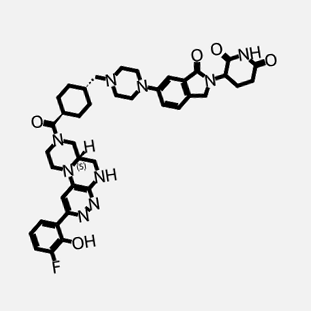 O=C1CCC(N2Cc3ccc(N4CCN(C[C@H]5CC[C@H](C(=O)N6CCN7c8cc(-c9cccc(F)c9O)nnc8NC[C@H]7C6)CC5)CC4)cc3C2=O)C(=O)N1